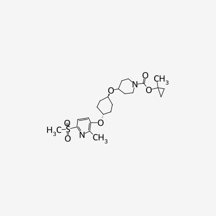 Cc1nc(S(C)(=O)=O)ccc1O[C@H]1CC[C@H](OC2CCN(C(=O)OC3(C)CC3)CC2)CC1